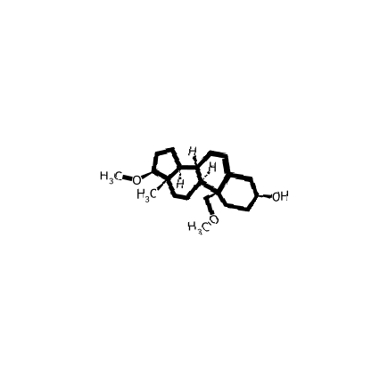 COC[C@]12CC[C@H](O)CC1=CC[C@@H]1[C@@H]2CC[C@]2(C)[C@@H](OC)CC[C@@H]12